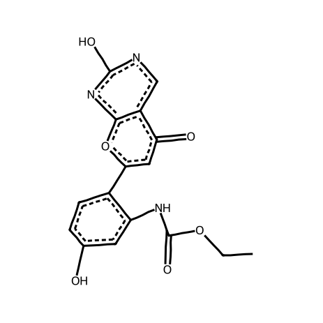 CCOC(=O)Nc1cc(O)ccc1-c1cc(=O)c2cnc(O)nc2o1